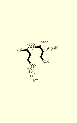 N[C@@H](CCC(=O)[O-])C(=O)[O-].N[C@@H](CCC(=O)[O-])C(=O)[O-].O.O.O.O.O.[Sr+2].[Sr+2]